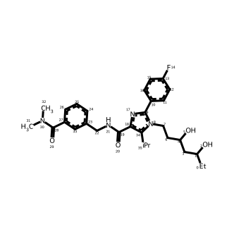 [CH2]CC(O)CC(O)CCn1c(-c2ccc(F)cc2)nc(C(=O)NCc2cccc(C(=O)N(C)C)c2)c1C(C)C